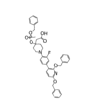 CP(=O)(OCc1ccccc1)OC1(CC(=O)O)CCN(c2ccc(-c3ccc(OCc4ccccc4)nc3OCc3ccccc3)cc2F)CC1